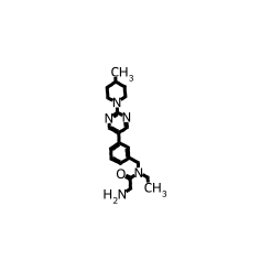 CCN(Cc1cccc(-c2cnc(N3CCC(C)CC3)nc2)c1)C(=O)CN